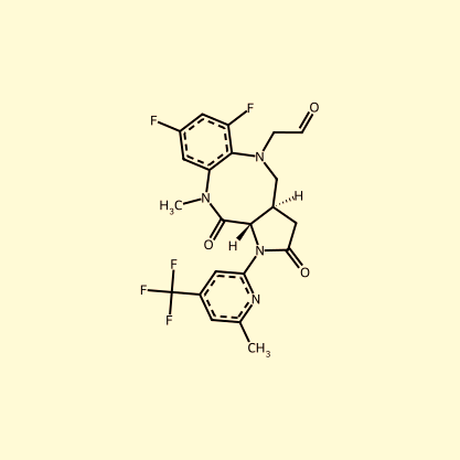 Cc1cc(C(F)(F)F)cc(N2C(=O)C[C@@H]3CN(CC=O)c4c(F)cc(F)cc4N(C)C(=O)[C@H]32)n1